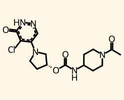 CC(=O)N1CCC(NC(=O)O[C@@H]2CCN(c3cn[nH]c(=O)c3Cl)C2)CC1